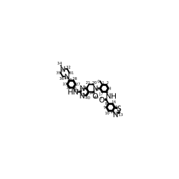 Cc1ccc(NC(=O)c2ccc3ncsc3c2)cc1N1CCc2nc(Nc3ccc(N4CCN(C)CC4)cc3)ncc2C1=O